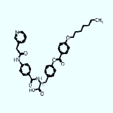 CCCCCCCOc1ccc(C(=O)Oc2ccc(C[C@H](NC(=O)c3ccc(NC(=O)Cc4cccnc4)cc3)C(=O)O)cc2)cc1